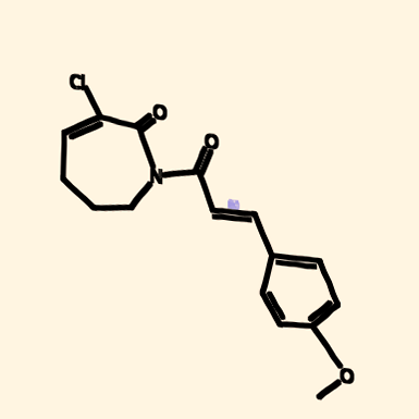 COc1ccc(/C=C/C(=O)N2CCCC=C(Cl)C2=O)cc1